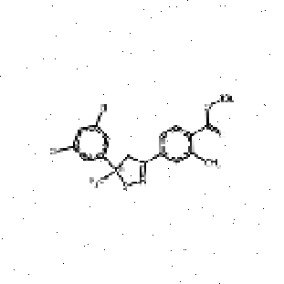 Cc1cc(C2=NS[C@@](c3cc(Cl)cc(Cl)c3)(C(F)(F)F)C2)ccc1C(=O)OC(C)(C)C